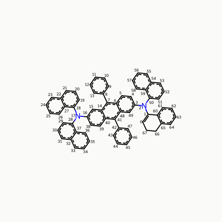 C1=C(N(c2ccc3c(-c4ccccc4)c4cc(N(c5cccc6ccccc56)c5cccc6ccccc56)ccc4c(-c4ccccc4)c3c2)c2cccc3ccccc23)c2ccccc2CC1